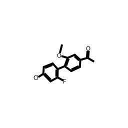 COc1cc(C(C)=O)ccc1-c1ccc(Cl)cc1F